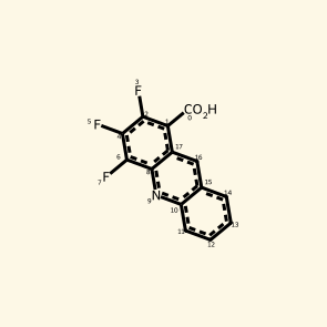 O=C(O)c1c(F)c(F)c(F)c2nc3ccccc3cc12